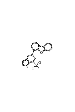 CS(=O)(=O)c1nc(-c2cccc3c2oc2ccccc23)cc2ccnn12